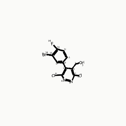 OCc1c(Cl)nnc(Cl)c1-c1ccc(F)c(Br)c1